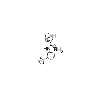 NC1=C(NC(=O)N2CC3=CC[C@@H](C2)O3)C=C(c2cccs2)CC=C1